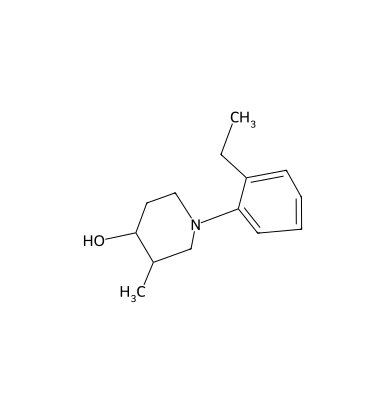 CCc1ccccc1N1CCC(O)C(C)C1